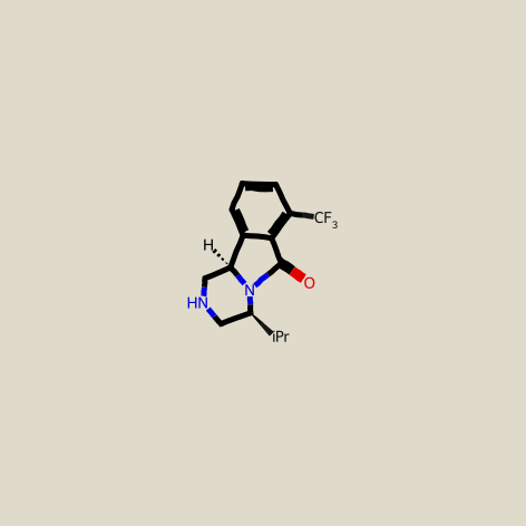 CC(C)[C@H]1CNC[C@H]2c3cccc(C(F)(F)F)c3C(=O)N12